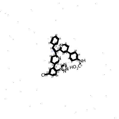 O=C(O)Nc1ccc(-c2ccnc(/C(=C\c3ccccc3)c3ccc(-c4cc(Cl)ccc4-n4cnnn4)cn3)c2)cc1